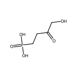 O=C(CO)CCP(=O)(O)O